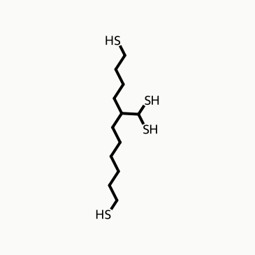 SCCCCCCC(CCCCS)C(S)S